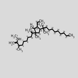 C=C(NC)C(C)CCCCCC(=C)C1(C)CC(C(C)(C)CCCCCCCCC)C(CC)C1C